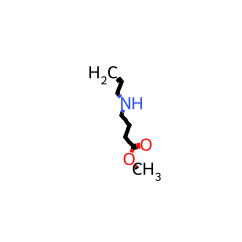 C=CCNCCCC(=O)OC